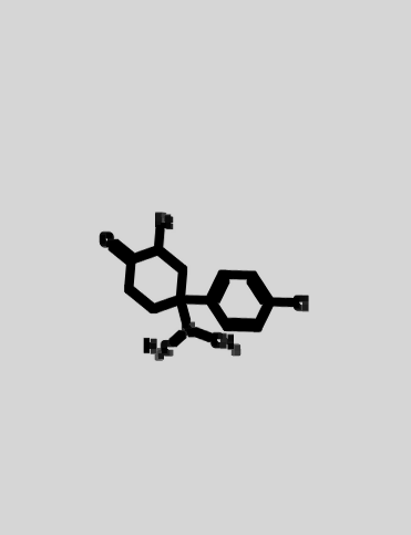 CCC1CC(c2ccc(Cl)cc2)(N(C)C)CCC1=O